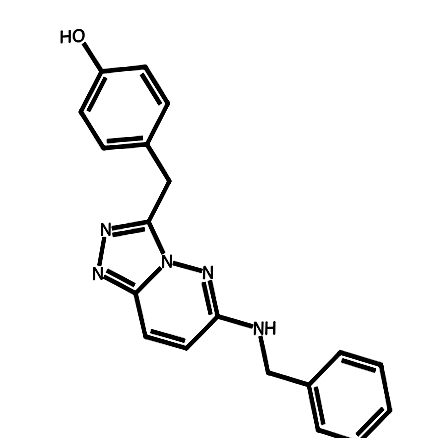 Oc1ccc(Cc2nnc3ccc(NCc4ccccc4)nn23)cc1